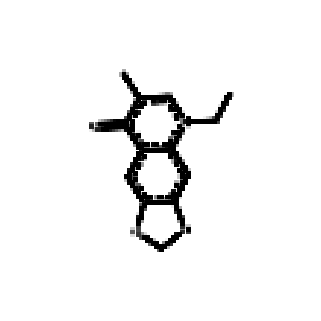 CCn1cc(C)c(=O)c2cc3c(cc21)OCO3